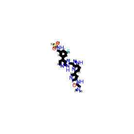 CN(C)CC(=O)Nc1cncc(-c2ccc3[nH]nc(-c4nc5c(-c6cc(F)cc(CNS(C)(=O)=O)c6)ccnc5[nH]4)c3n2)c1